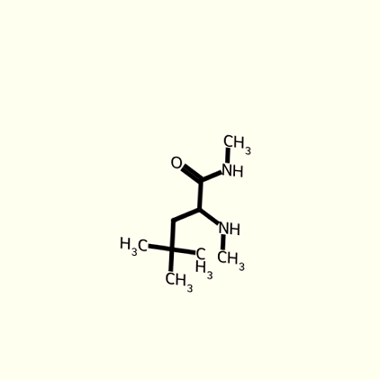 CNC(=O)C(CC(C)(C)C)NC